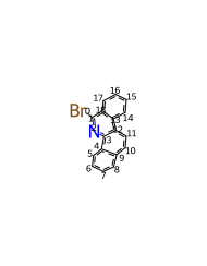 Brc1nc2c3ccccc3ccc2c2ccccc12